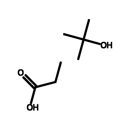 CC(C)(C)O.CCC(=O)O